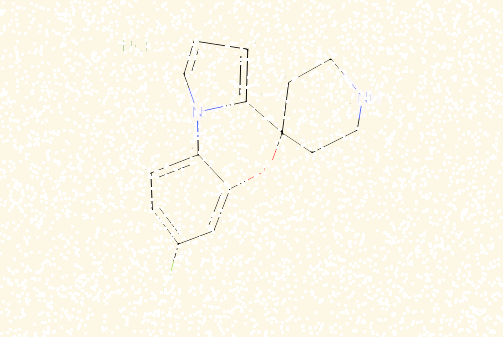 Cl.Fc1ccc2c(c1)OC1(CCNCC1)c1cccn1-2